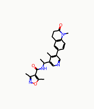 Cc1noc(C)c1C(=O)NC(C)c1cncc(-c2ccc3c(c2)CCC(=O)N3C)c1C